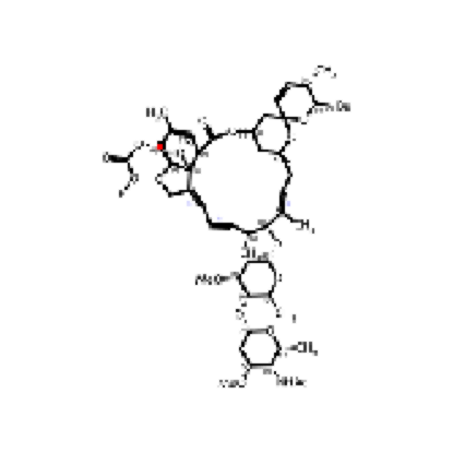 CC[C@H](C)[C@H]1OC2(C=C[C@@H]1C)C[C@@H]1C[C@@H](C/C=C(\C)[C@@H](O[C@H]3C[C@H](OC)[C@@H](O[C@H]4C[C@H](OC)[C@@H](NC(C)=O)[C@H](C)O4)[C@H](C)O3)[C@@H](C)/C=C/C=C3\CO[C@@H]4[C@H](OC(=O)OF)C(C)=C[C@@H](C(=O)O1)[C@]34O)O2